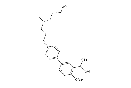 COc1ccc(-c2ccc(OCCC(C)CCCC(C)C)cc2)cc1C(O)O